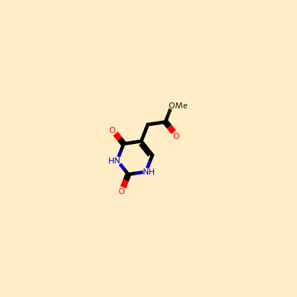 COC(=O)Cc1c[nH]c(=O)[nH]c1=O